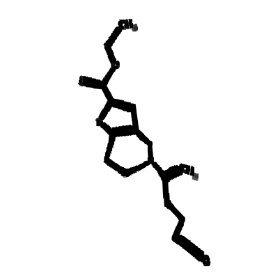 C=C(CCC=O)N1CCc2sc(C(=O)OCC)cc2C1